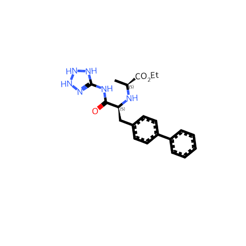 CCOC(=O)[C@H](C)N[C@@H](Cc1ccc(-c2ccccc2)cc1)C(=O)NC1=NNNN1